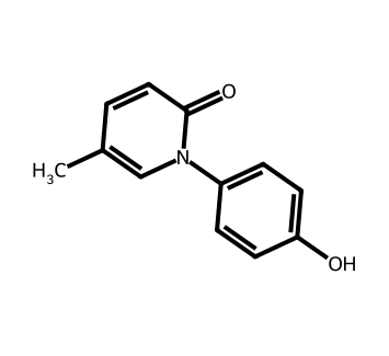 Cc1ccc(=O)n(-c2ccc(O)cc2)c1